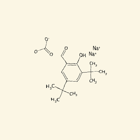 CC(C)(C)c1cc(C=O)c(O)c(C(C)(C)C)c1.O=C([O-])[O-].[Na+].[Na+]